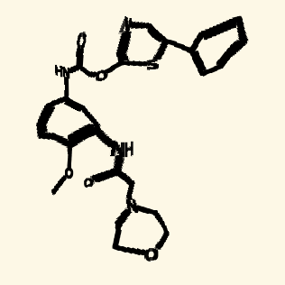 COc1ccc(NC(=O)Oc2ncc(-c3ccccc3)s2)cc1NC(=O)CN1CCOCC1